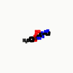 Cc1ccc(S(=O)(=O)NC(=O)c2cnc(-c3cccnn3)nc2O)cc1